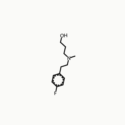 CN(CCCO)CCc1ccc(F)cc1